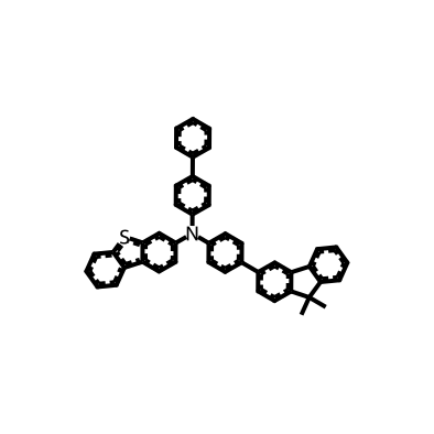 CC1(C)c2ccccc2-c2cc(-c3ccc(N(c4ccc(-c5ccccc5)cc4)c4ccc5c(c4)sc4ccccc45)cc3)ccc21